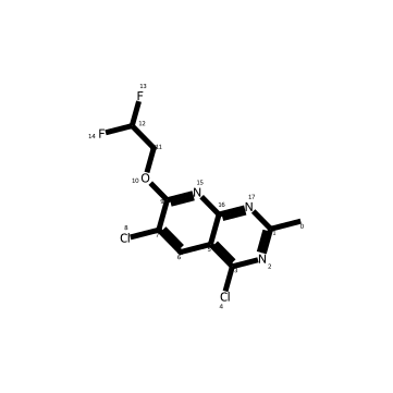 Cc1nc(Cl)c2cc(Cl)c(OCC(F)F)nc2n1